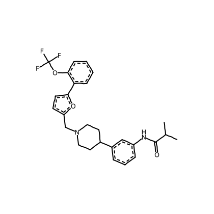 CC(C)C(=O)Nc1cccc(C2CCN(Cc3ccc(-c4ccccc4OC(F)(F)F)o3)CC2)c1